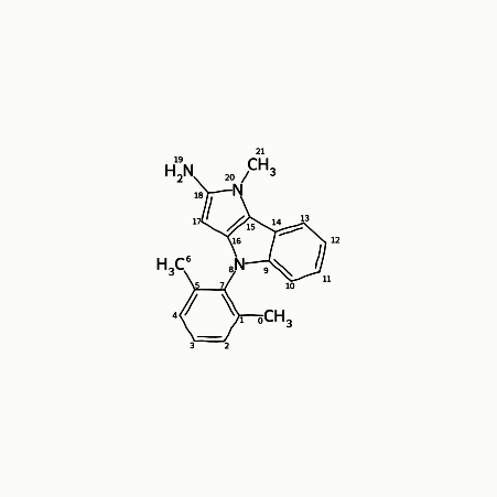 Cc1cccc(C)c1-n1c2ccccc2c2c1cc(N)n2C